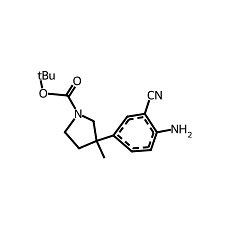 CC(C)(C)OC(=O)N1CCC(C)(c2ccc(N)c(C#N)c2)C1